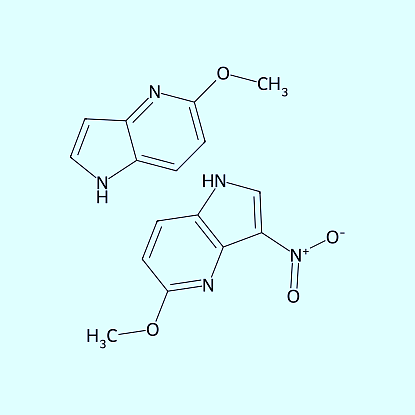 COc1ccc2[nH]cc([N+](=O)[O-])c2n1.COc1ccc2[nH]ccc2n1